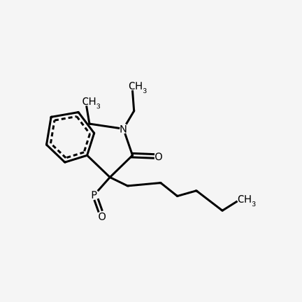 CCCCCCC(P=O)(C(=O)N(CC)CC)c1ccccc1